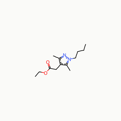 CCCCn1nc(C)c(CC(=O)OCC)c1C